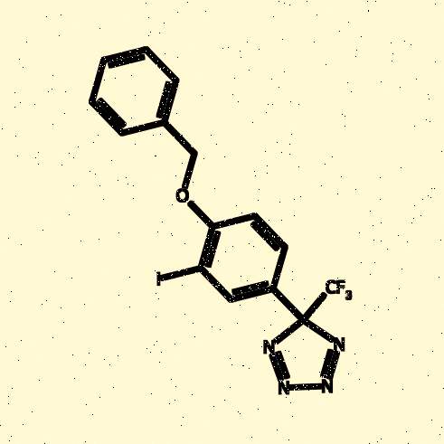 FC(F)(F)C1(c2ccc(OCc3ccccc3)c(I)c2)N=NN=N1